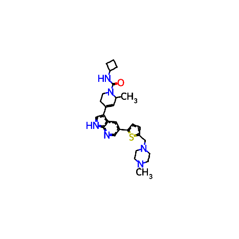 CC1C=C(c2c[nH]c3ncc(-c4ccc(CN5CCN(C)CC5)s4)cc23)CCN1C(=O)NC1CCC1